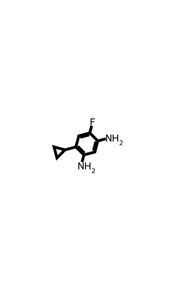 Nc1cc(N)c(C2CC2)cc1F